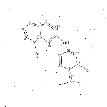 CC/C(C)=C1\C=CC(Nc2ncc3cccc(Br)c3n2)=CC1C